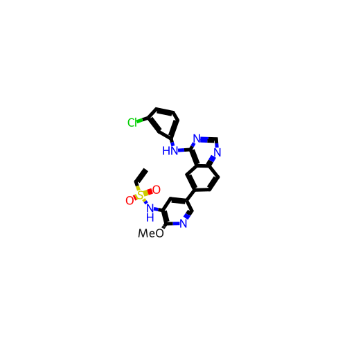 C=CS(=O)(=O)Nc1cc(-c2ccc3ncnc(Nc4cccc(Cl)c4)c3c2)cnc1OC